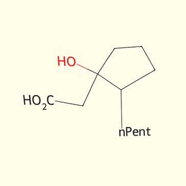 CCCCCC1CCCC1(O)CC(=O)O